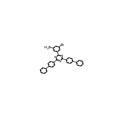 Bc1cc(Br)cc(-c2nc(-c3ccc(-c4ccccc4)cc3)nc(-c3ccc(-c4ccccc4)cc3)n2)c1